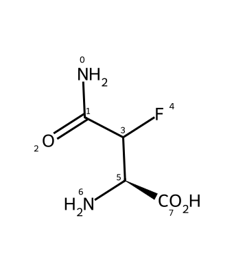 NC(=O)C(F)[C@H](N)C(=O)O